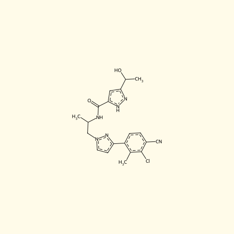 Cc1c(-c2ccn(CC(C)NC(=O)c3cc(C(C)O)n[nH]3)n2)ccc(C#N)c1Cl